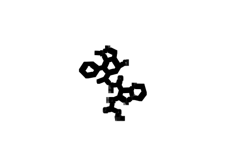 CC(NC(=O)c1c(NC(=O)OC(C)(C)C)nn2cccnc12)c1cc(Cl)c2cnn(C)c2c1-c1ccccc1